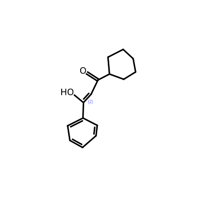 O=C(/C=C(\O)c1ccccc1)C1CCCCC1